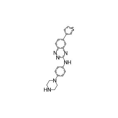 c1cc(-c2ccc3nnc(Nc4ccc(N5CCNCC5)cc4)nc3c2)cs1